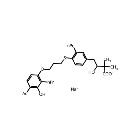 CCCc1cc(CC(O)C(C)(C)C(=O)[O-])ccc1SCCCOc1ccc(C(C)=O)c(O)c1CCC.[Na+]